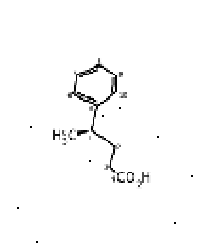 C[C@H](CCC(=O)O)c1ccccc1